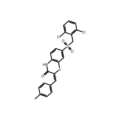 Cc1ccc(/C=C2/Sc3cc(S(=O)(=O)Cc4c(Cl)cccc4Cl)ccc3NC2=O)cc1